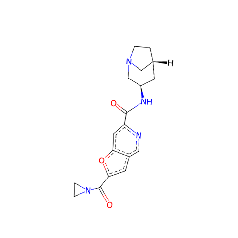 O=C(N[C@@H]1C[C@H]2CCN(C2)C1)c1cc2oc(C(=O)N3CC3)cc2cn1